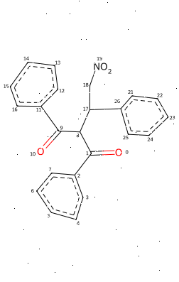 O=C(c1ccccc1)C(C(=O)c1ccccc1)C(C[N+](=O)[O-])c1ccccc1